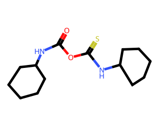 O=C(NC1CCCCC1)OC(=S)NC1CCCCC1